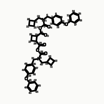 O=C(OC(=O)N(Cc1ccc(Oc2ccccc2)cc1)CC1CCC1)C1CCC1C(=O)OC(=O)N(Cc1ccc(Oc2ccccc2)cc1)CC1CCC1